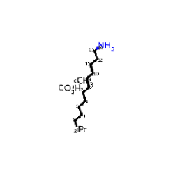 CC(=O)O.CC(C)CCCCCCCCCCCN